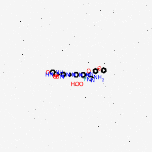 Nc1ncnc2c1n(-c1ccc(Oc3ccccc3)cc1)c(=O)n2[C@@H]1CCN(C2CCN(C3CN(c4ccc(C(=O)N[C@@H]5CCC(=O)NC5=O)nc4)C3)CC2)C[C@H]1F.O=CO